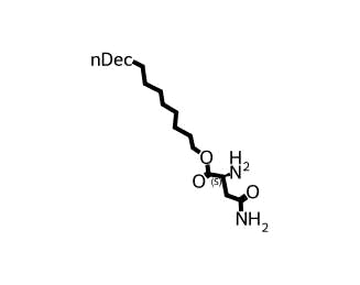 CCCCCCCCCCCCCCCCCCOC(=O)[C@@H](N)CC(N)=O